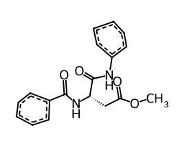 COC(=O)C[C@H](NC(=O)c1ccccc1)C(=O)Nc1ccccc1